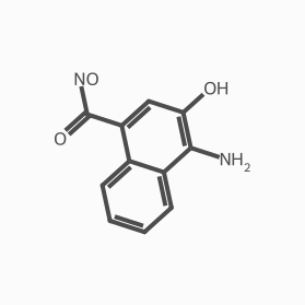 Nc1c(O)cc(C(=O)N=O)c2ccccc12